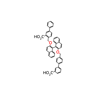 O=C(O)c1cccc(-c2ccc(COc3ccc4ccccc4c3-c3c(OCc4ccc(-c5ccccc5)cc4C(=O)O)ccc4ccccc34)cc2)c1